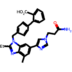 CCc1nc2c(C)cc(-c3cn(CCC(N)=O)cn3)cc2n1Cc1ccc(-c2ccccc2C(=O)O)cc1